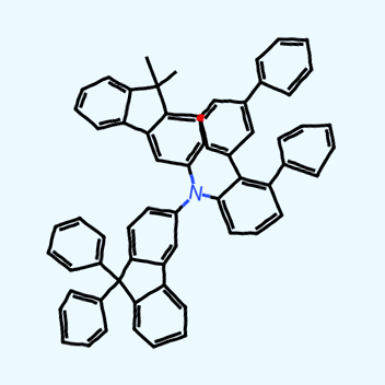 CC1(C)c2ccccc2-c2cc(N(c3ccc4c(c3)-c3ccccc3C4(c3ccccc3)c3ccccc3)c3cccc(-c4ccccc4)c3-c3cccc(-c4ccccc4)c3)ccc21